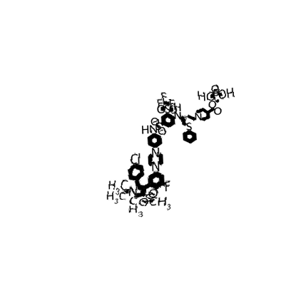 Cc1c(S(C)(=O)=O)c(-c2cc(F)cc(N3CCN(c4ccc(NS(=O)(=O)c5ccc(N[C@H](CCN6CCC(C(=O)OCP(=O)(O)O)CC6)CSc6ccccc6)c(S(=O)(=O)C(F)(F)F)c5)cc4)CC3)c2)c(C2=CC=C(Cl)CC2)n1C(C)C